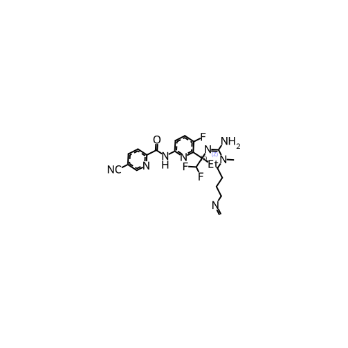 C=NCCCCN(C)/C(N)=N\[C@@](CC)(c1nc(NC(=O)c2ccc(C#N)cn2)ccc1F)C(F)F